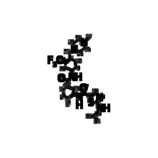 Cc1ccc(C(=O)Nc2ccc(CN3CCN(C)CC3)c(C(F)(F)F)c2)cc1NC(=O)c1cnc(NC2CC2)s1